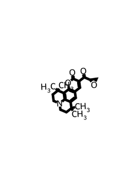 CC1(C)CCN2CCC(C)(C)c3c2c1cc1cc(C(=O)C2CO2)c(=O)oc31